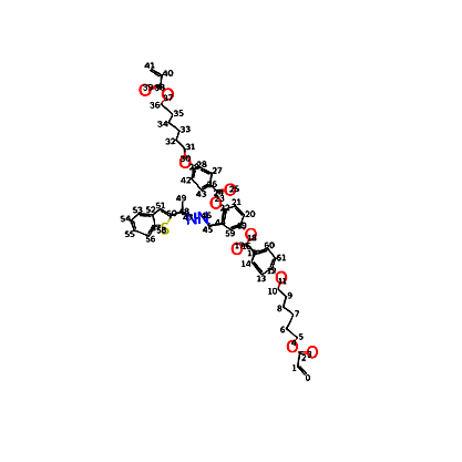 C=CC(=O)OCCCCCCOc1ccc(C(=O)Oc2ccc(OC(=O)c3ccc(OCCCCCCOC(=O)C=C)cc3)c(/C=N/N=C(\C)c3cc4ccccc4s3)c2)cc1